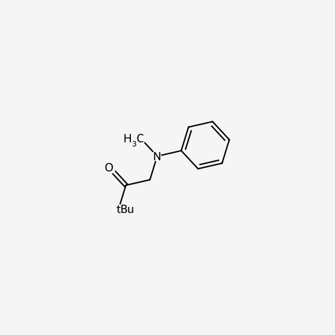 CN(CC(=O)C(C)(C)C)c1ccccc1